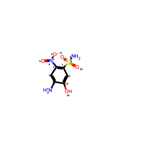 Nc1cc([N+](=O)[O-])c(S(N)(=O)=O)cc1O